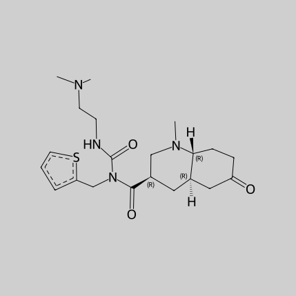 CN(C)CCNC(=O)N(Cc1cccs1)C(=O)[C@@H]1C[C@@H]2CC(=O)CC[C@H]2N(C)C1